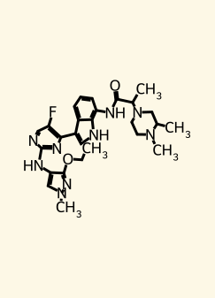 CCOc1nn(C)cc1Nc1ncc(F)c(-c2c[nH]c3c(NC(=O)C(C)N4CCN(C)C(C)C4)cccc23)n1